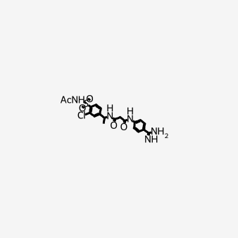 CC(=O)NS(=O)(=O)c1ccc(C(C)NC(=O)CC(=O)Nc2ccc(C(=N)N)cc2)cc1Cl